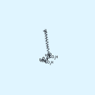 CCC(=O)NC(CSSCC(NC(=O)CCCCCCCCCCCCCCCCCCN(C)C)C(=O)O)C(=O)O